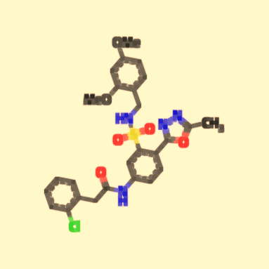 COc1ccc(CNS(=O)(=O)c2cc(NC(=O)Cc3ccccc3Cl)ccc2-c2nnc(C)o2)c(OC)c1